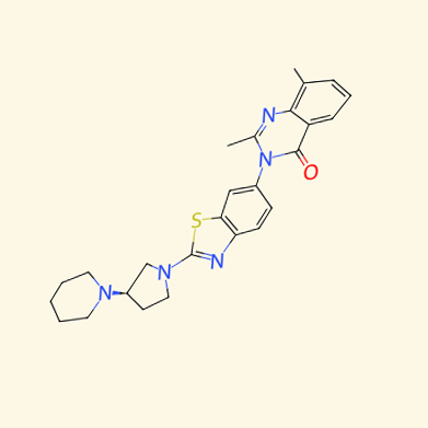 Cc1cccc2c(=O)n(-c3ccc4nc(N5CC[C@@H](N6CCCCC6)C5)sc4c3)c(C)nc12